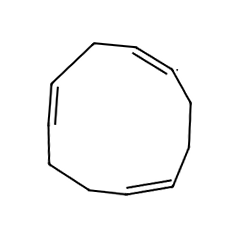 [C]1=C\C/C=C\CC/C=C\CC/1